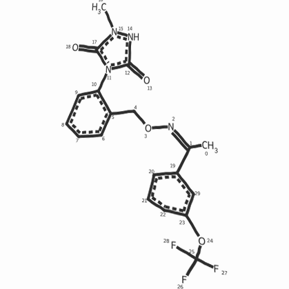 CC(=NOCc1ccccc1-n1c(=O)[nH]n(C)c1=O)c1cccc(OC(F)(F)F)c1